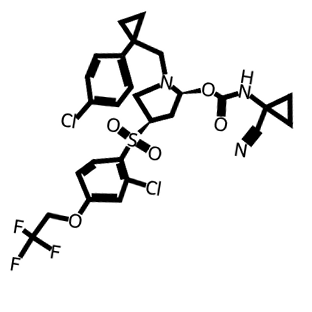 N#CC1(NC(=O)O[C@H]2C[C@@H](S(=O)(=O)c3ccc(OCC(F)(F)F)cc3Cl)CN2CC2(c3ccc(Cl)cc3)CC2)CC1